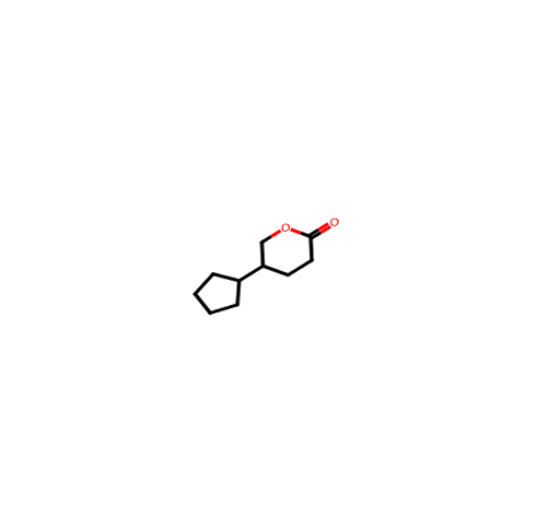 O=C1CCC(C2CCCC2)CO1